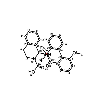 COc1cccc(C(=O)NC2c3ccccc3CCN2C(=O)O)c1-c1ccccc1C(F)(F)F